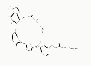 CN1CC(C)(C)CCCC(C)(c2cccc(CCC(=O)NOCCO)c2)c2cnc([nH]2)-c2cc(ccc2F)Oc2c(F)cc3[nH]ccc3c2CCC1=O